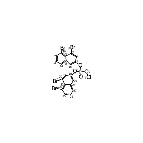 O=P(OCl)(Oc1cc(Br)c2c(Br)cccc2c1)Oc1cc(Br)c2c(Br)cccc2c1